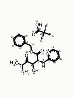 C[C@H](N)C(=O)C(O)[C@H](Nc1ccccn1)C(=O)OCc1ccccc1.O=C(O)C(F)(F)F